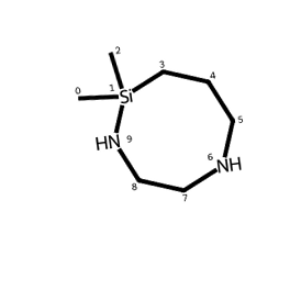 C[Si]1(C)CCCNCCN1